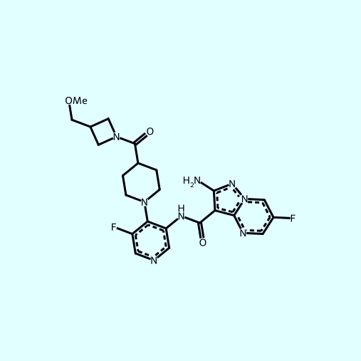 COCC1CN(C(=O)C2CCN(c3c(F)cncc3NC(=O)c3c(N)nn4cc(F)cnc34)CC2)C1